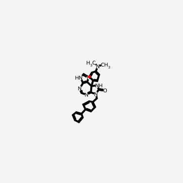 CN(C)c1ccc(C23NC(=O)N(Cc4ccc(-c5ccccc5)cc4)C2=NC=Nc2[nH]cnc23)cc1